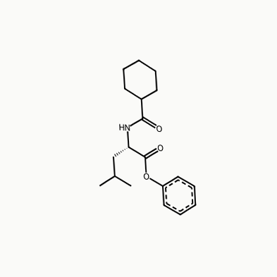 CC(C)C[C@H](NC(=O)C1CCCCC1)C(=O)Oc1ccccc1